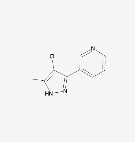 Cc1[nH]nc(-c2cccnc2)c1Cl